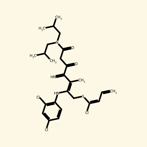 C=C/C=C(/Cl)SC/C(Nc1ccc(Cl)cc1Cl)=C(\C)C(=N)C(=O)CC(=O)N(CC(C)C)CC(C)C